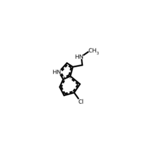 CNCc1c[nH]c2ccc(Cl)cc12